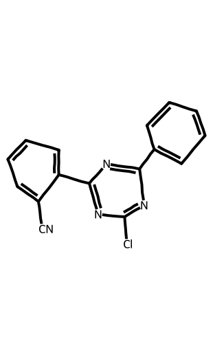 N#Cc1ccccc1-c1nc(Cl)nc(-c2ccccc2)n1